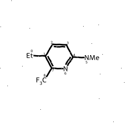 CCc1ccc(NC)nc1C(F)(F)F